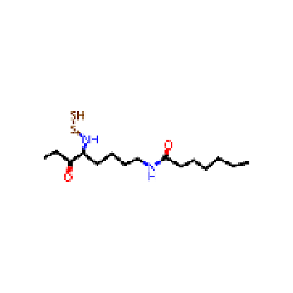 CCCCCCC(=O)NCCCCC(NSS)C(=O)CC